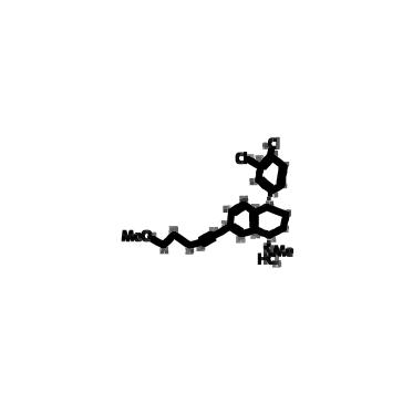 CN[C@H]1CC[C@@H](c2ccc(Cl)c(Cl)c2)c2ccc(C#CCCCOC)cc21.Cl